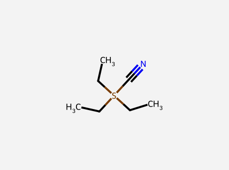 CCS(C#N)(CC)CC